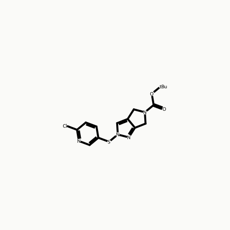 CC(C)(C)OC(=O)N1Cc2cn(Sc3ccc(Cl)nc3)nc2C1